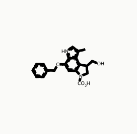 Cc1c[nH]c2c(OCc3ccccc3)cc3c(c12)C(CO)CN3C(=O)O